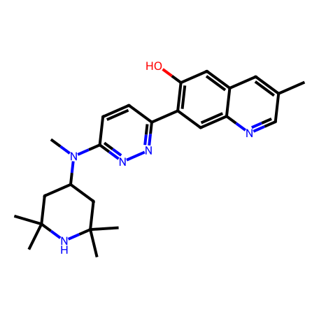 Cc1cnc2cc(-c3ccc(N(C)C4CC(C)(C)NC(C)(C)C4)nn3)c(O)cc2c1